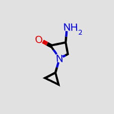 NC1CN(C2CC2)C1=O